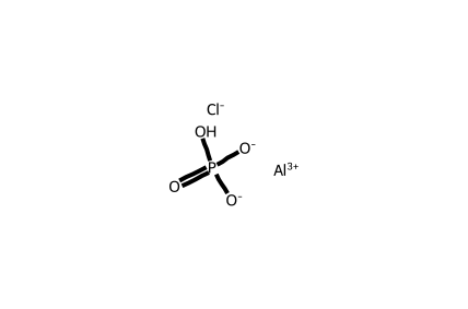 O=P([O-])([O-])O.[Al+3].[Cl-]